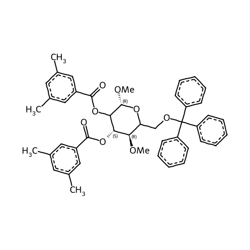 CO[C@@H]1OC(COC(c2ccccc2)(c2ccccc2)c2ccccc2)[C@@H](OC)[C@H](OC(=O)c2cc(C)cc(C)c2)C1OC(=O)c1cc(C)cc(C)c1